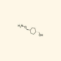 NOC[C@H]1CC[C@H](CO)CC1